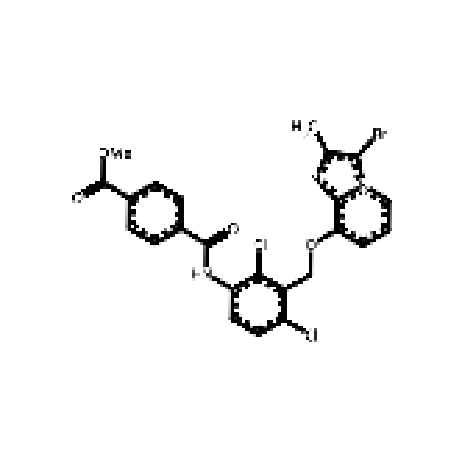 COC(=O)c1ccc(C(=O)Nc2ccc(Cl)c(COc3cccn4c(Br)c(C)nc34)c2Cl)cc1